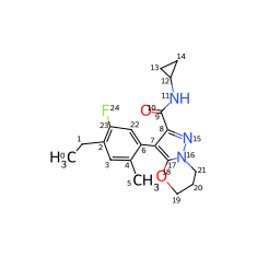 CCc1cc(C)c(-c2c(C(=O)NC3CC3)nn3c2OCCC3)cc1F